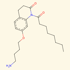 CCCCCCCC(=O)N1C(=O)CCc2ccc(OCCCCN)cc21